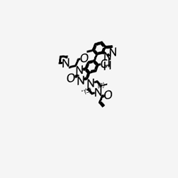 C=CC(=O)N1C[C@H](C)N(c2nc(=O)n3c4c(c(-c5c(C)ccc6cn[nH]c56)c(Cl)cc24)OCC3CN2CCC2)C[C@H]1C